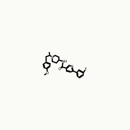 COc1ccc(CC(C)N2CCC(NC(=O)c3ccc(-c4cccc(F)c4)nc3)CC2)cc1